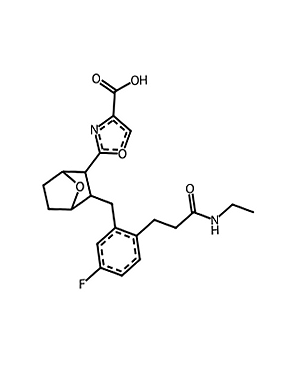 CCNC(=O)CCc1ccc(F)cc1CC1C2CCC(O2)C1c1nc(C(=O)O)co1